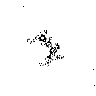 COc1ncc(-c2cc(N3CC(Oc4ccc(C#N)c(OC(F)(F)F)c4)C(F)(F)C3)c3nccn3n2)c(OC)n1